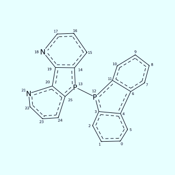 c1ccc2c(c1)c1ccccc1p2-p1c2cccnc2c2ncccc21